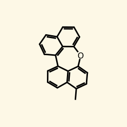 Cc1ccc2oc3cccc4cccc(c5cccc1c25)c43